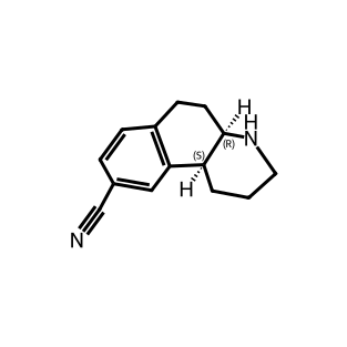 N#Cc1ccc2c(c1)[C@@H]1CCCN[C@@H]1CC2